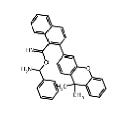 CC1(C)c2ccccc2Oc2cc(-c3ccc4ccccc4c3C(=N)OC(N)c3ccccc3)ccc21